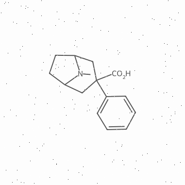 CN1C2CCC1CC(C(=O)O)(c1ccccc1)C2